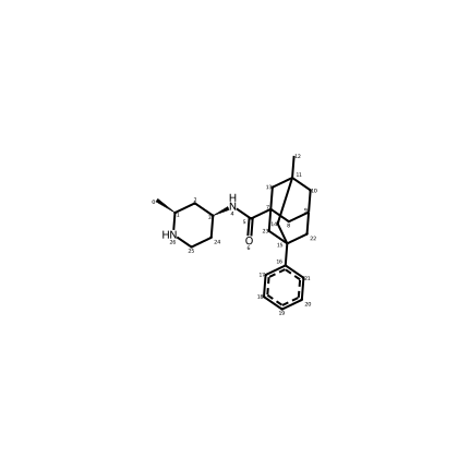 C[C@H]1C[C@@H](NC(=O)C23CC4CC(C)(C2)CC(c2ccccc2)(C4)C3)CCN1